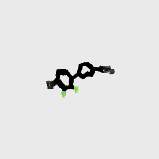 CCc1ccc(-c2ccc(C)cc2)c(F)c1F